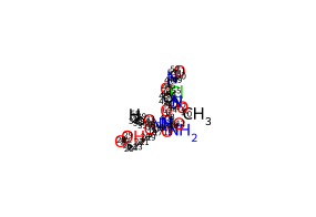 CCOc1cc(OC2C[C@@H](C(N)=O)N(C(=O)[C@H](CCCCCCC[C@@H]3C[C@@H]3C(=O)O)NC(=O)O[C@@H]3CC4=C[C@@H]4C3)C2)c2ccc(OCCN3CCOCC3)c(Cl)c2n1